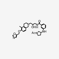 CC(=O)N1CCC(Nc2cccc(C(=O)NC[C@H](O)CN3CCc4c(ccc(OCc5cnco5)c4C)C3)c2)C1